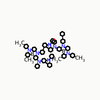 Cc1ccc(N2c3ccc(C)cc3B3c4ccc(N(c5ccccc5)c5ccc6c(c5)c5ccccc5n6-c5ccccc5)cc4N(c4cccc(-c5cccc6c5c5cccc(N(c7ccccc7)c7ccc8c(c7)N(c7ccc(-c9ccccc9)cc7)c7cccc9c7B8c7cc(C)ccc7N9c7ccc(C)cc7)c5n6-c5ccccc5)c4)c4cccc2c43)cc1